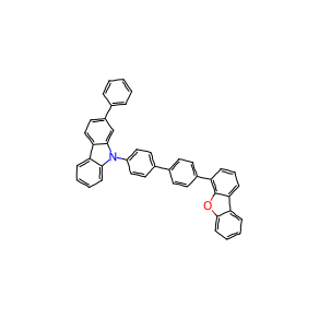 c1ccc(-c2ccc3c4ccccc4n(-c4ccc(-c5ccc(-c6cccc7c6oc6ccccc67)cc5)cc4)c3c2)cc1